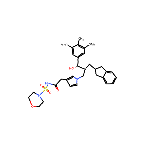 COc1cc([C@@H](O)[C@@H](CC2Cc3ccccc3C2)Cn2ccc(CC(=O)NS(=O)(=O)N3CCOCC3)c2)cc(OC)c1C